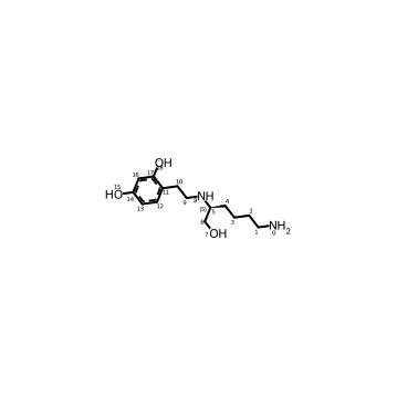 NCCCC[C@@H](CO)NCCc1ccc(O)cc1O